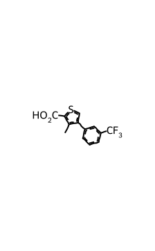 Cc1c(-c2cccc(C(F)(F)F)c2)csc1C(=O)O